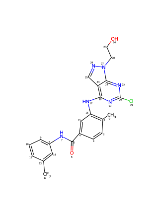 Cc1ccc(C(=O)Nc2cccc(C(F)(F)F)c2)cc1Nc1nc(Cl)nc2c1cnn2CCO